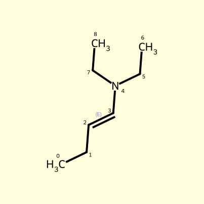 CC/C=C/N(CC)CC